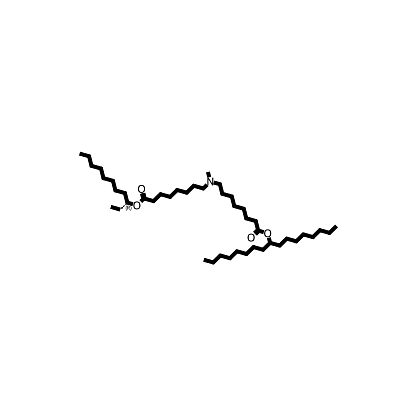 CCCCCCCCC(CCCCCCCC)OC(=O)CCCCCCCN(C)CCCCCCCC(=O)O[C@H](CC)CCCCCCCC